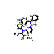 CC1C(=O)N(C)c2ccc(N3C(=O)c4ccccc4C3c3ccc(F)cc3)nc2N1C1CCCC1